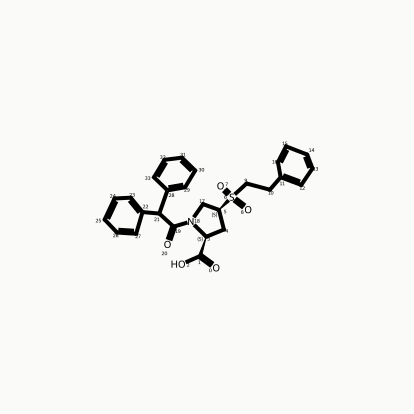 O=C(O)[C@@H]1C[C@H](S(=O)(=O)CCc2ccccc2)CN1C(=O)C(c1ccccc1)c1ccccc1